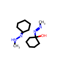 C/N=N/C1(O)CCCCC1.CNN=C1CCCCC1